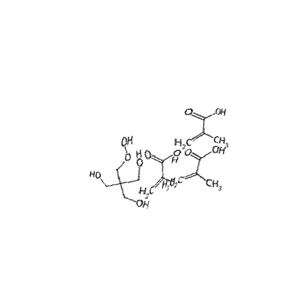 C=C(C)C(=O)O.C=C(C)C(=O)O.C=C(C)C(=O)O.OCC(CO)(CO)COO